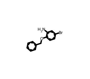 Nc1cc(Br)ccc1OCc1ccccc1